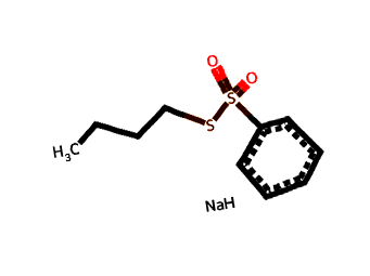 CCCCSS(=O)(=O)c1ccccc1.[NaH]